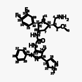 COCC(CN)[C@@H]1C[C@@H](NC(=O)Nc2c(C)c(-c3cnn(C)c3)nn2-c2ccccc2)[C@H](c2ccc(F)c(F)c2)N1C